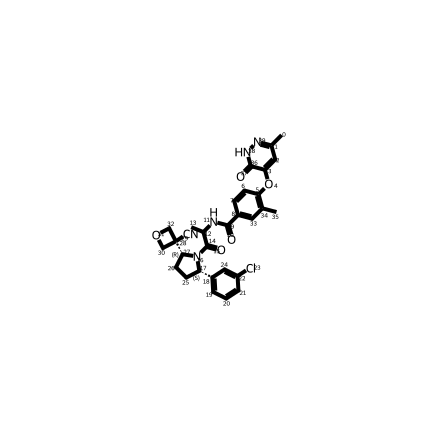 Cc1cc(Oc2ccc(C(=O)NC(C)C(=O)N3[C@H](c4cccc(Cl)c4)CC[C@@H]3C3(C#N)COC3)cc2C)c(=O)[nH]n1